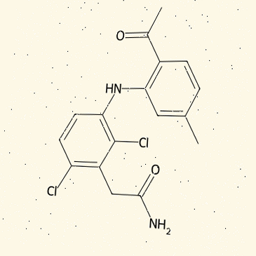 CC(=O)c1ccc(C)cc1Nc1ccc(Cl)c(CC(N)=O)c1Cl